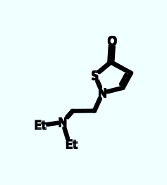 CCN(CC)CCn1ccc(=O)s1